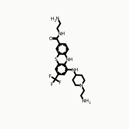 NCCNC(=O)c1ccc2c(c1)Sc1cc(C(F)(F)F)cc(NC3CCN(CCN)CC3)c1N2